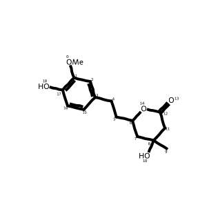 COc1cc(CCC2CC(C)(O)CC(=O)O2)ccc1O